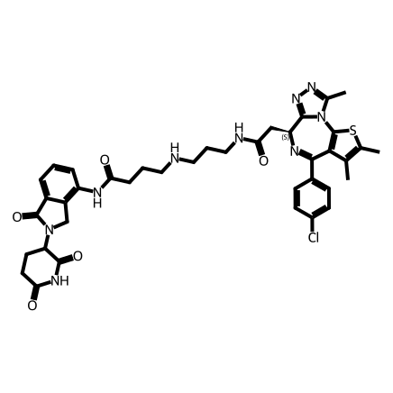 Cc1sc2c(c1C)C(c1ccc(Cl)cc1)=N[C@@H](CC(=O)NCCCNCCCC(=O)Nc1cccc3c1CN(C1CCC(=O)NC1=O)C3=O)c1nnc(C)n1-2